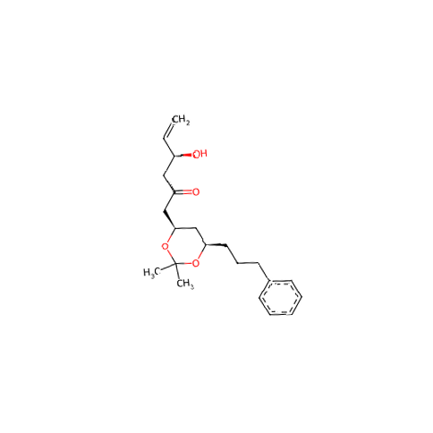 C=C[C@@H](O)CC(=O)C[C@H]1C[C@@H](CCCc2ccccc2)OC(C)(C)O1